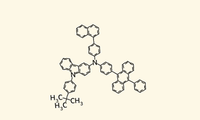 CC(C)(C)c1ccc(-n2c3ccccc3c3cc(N(c4ccc(-c5cccc6ccccc56)cc4)c4ccc(-c5c6ccccc6c(-c6ccccc6)c6ccccc56)cc4)ccc32)cc1